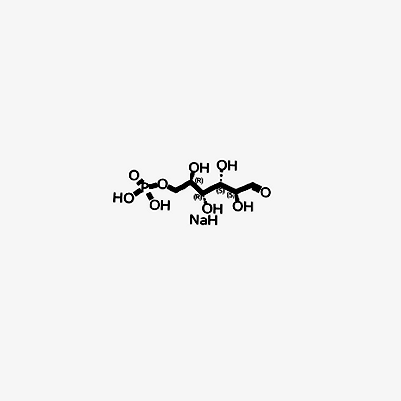 O=C[C@@H](O)[C@@H](O)[C@H](O)[C@H](O)COP(=O)(O)O.[NaH]